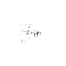 COC(=O)CCC(NC(=O)OCc1ccccc1)C(=O)Nc1ccc(Br)cc1C(=O)c1ccccn1